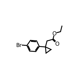 CCOC(=O)CC1(c2ccc(Br)cc2)CC1